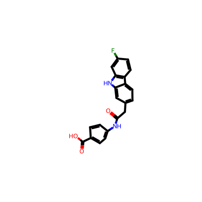 O=C(Cc1ccc2c(c1)[nH]c1cc(F)ccc12)Nc1ccc(C(=O)O)cc1